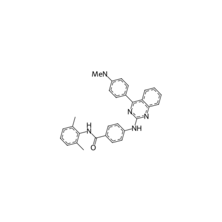 CNc1ccc(-c2nc(Nc3ccc(C(=O)Nc4c(C)cccc4C)cc3)nc3ccccc23)cc1